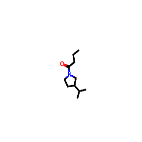 CCCC(=O)N1CCC(C(C)C)C1